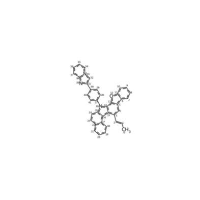 C/C=C/c1cc2c3ccccc3oc2c2c1c1c3ccccc3ccc1n2-c1ccc(-c2cn3ccccc3n2)cc1